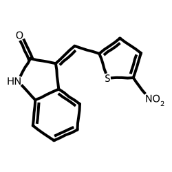 O=C1Nc2ccccc2C1=Cc1ccc([N+](=O)[O-])s1